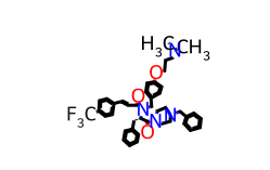 CN(C)CCCOc1ccc(CN(C(=O)/C=C/c2ccc(C(F)(F)F)cc2)[C@@H](Cc2ccccc2)C(=O)N2CCN(Cc3ccccc3)CC2)cc1